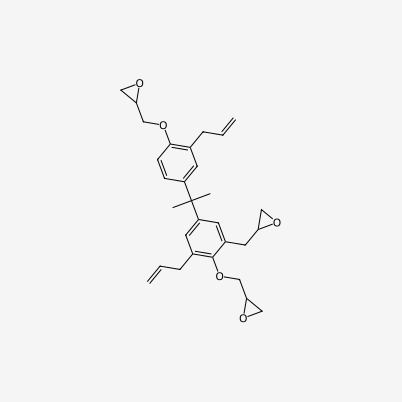 C=CCc1cc(C(C)(C)c2cc(CC=C)c(OCC3CO3)c(CC3CO3)c2)ccc1OCC1CO1